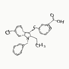 CCc1c(Sc2cccc(C(=O)O)c2)c2ccc(Cl)cc2n1Cc1ccccc1